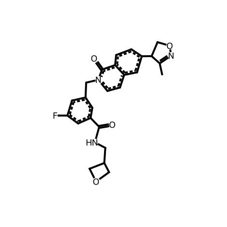 CC1=NOCC1c1ccc2c(=O)n(Cc3cc(F)cc(C(=O)NCC4COC4)c3)ccc2c1